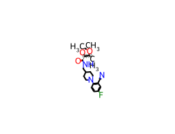 C[C@@H]1OC(C)(C)O[C@H]1C(=O)NCC1CCN(c2ccc(F)cc2C#N)CC1